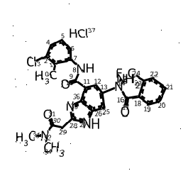 Cc1c(Cl)cccc1NC(=O)c1cc(N(N)C(=O)c2ccccc2C(F)(F)F)cc2[nH]c(CC(=O)N(C)C)nc12.Cl